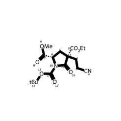 CCOC(=O)[C@@]1(CCC#N)C[C@@H](C(=O)OC)N(C(=O)OC(C)(C)C)C1=O